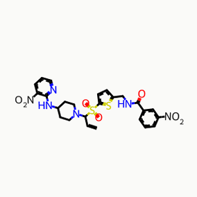 C=CC(N1CCC(Nc2ncccc2[N+](=O)[O-])CC1)S(=O)(=O)c1ccc(CNC(=O)c2cccc([N+](=O)[O-])c2)s1